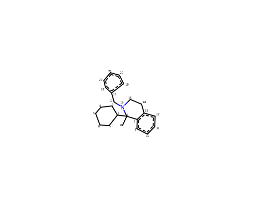 CC1(C2CCCCC2)c2ccccc2CCN1Cc1ccccc1